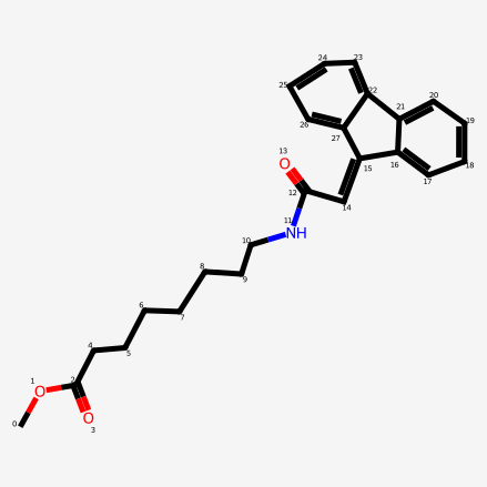 COC(=O)CCCCCCCNC(=O)C=C1c2ccccc2-c2ccccc21